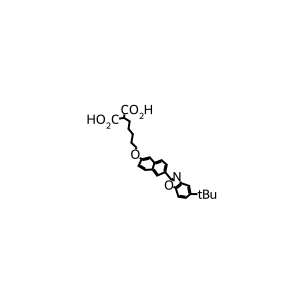 CC(C)(C)c1ccc2oc(-c3ccc4cc(OCCCCCC(C(=O)O)C(=O)O)ccc4c3)nc2c1